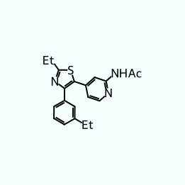 CCc1cccc(-c2nc(CC)sc2-c2ccnc(NC(C)=O)c2)c1